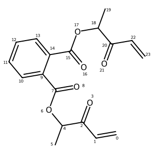 C=CC(=O)C(C)OC(=O)c1ccccc1C(=O)OC(C)C(=O)C=C